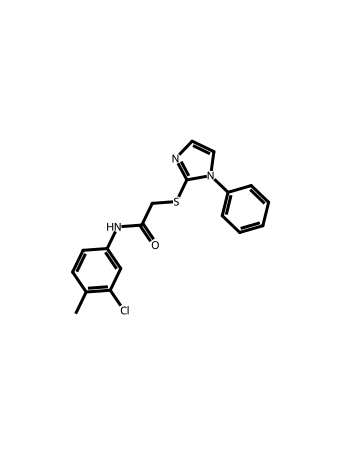 Cc1ccc(NC(=O)CSc2nccn2-c2ccccc2)cc1Cl